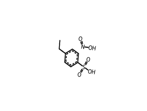 CCc1ccc(S(=O)(=O)O)cc1.O=NO